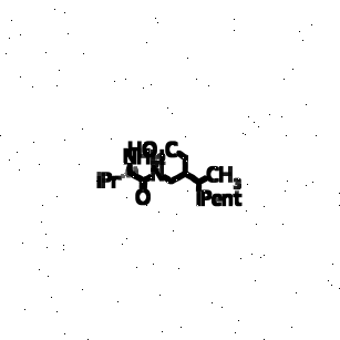 CCCC(C)C(C)C(CNC(=O)[C@@H](N)C(C)C)CC(=O)O